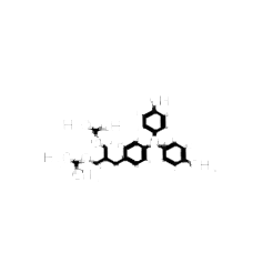 Cc1ccc(N(c2ccc(C)cc2)c2ccc(CC(COC(C)C)COC(C)C)cc2)cc1